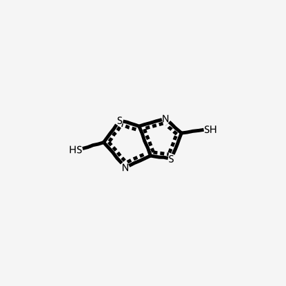 Sc1nc2sc(S)nc2s1